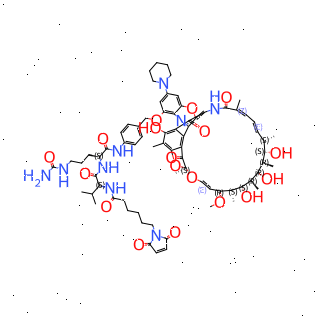 CO[C@H]1/C=C/O[C@@]2(C)Oc3c(C)c(O)c4c(=O)c(c5oc6cc(N7CCCCC7)cc(OCc7ccc(NC(=O)[C@H](CCCNC(N)=O)NC(=O)[C@@H](NC(=O)CCCCCN8C(=O)C=CC8=O)C(C)C)cc7)c6nc-5c4c3C2=O)NC(=O)/C(C)=C\C=C\[C@H](C)[C@H](O)[C@@H](C)[C@@H](O)[C@@H](C)[C@H](O)[C@@H]1C